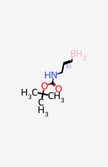 B/C=C/CNC(=O)OC(C)(C)C